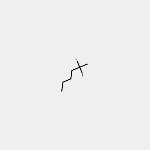 [CH2]C(F)(F)CCCF